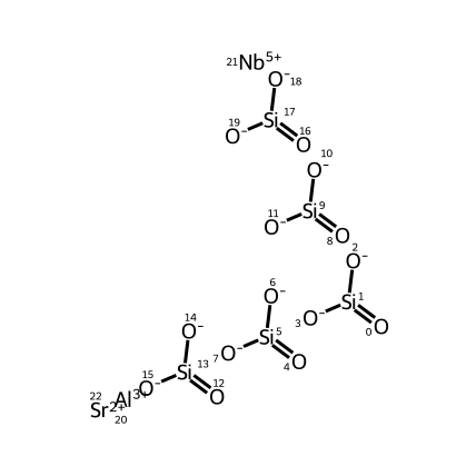 O=[Si]([O-])[O-].O=[Si]([O-])[O-].O=[Si]([O-])[O-].O=[Si]([O-])[O-].O=[Si]([O-])[O-].[Al+3].[Nb+5].[Sr+2]